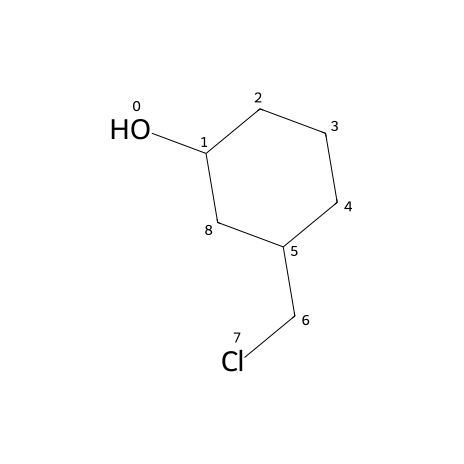 OC1CCCC(CCl)C1